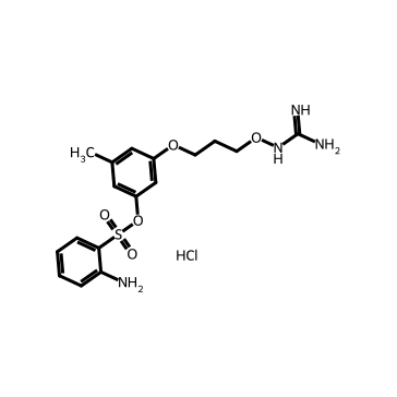 Cc1cc(OCCCONC(=N)N)cc(OS(=O)(=O)c2ccccc2N)c1.Cl